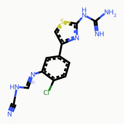 N#CN/C=N/c1cc(-c2csc(NC(=N)N)n2)ccc1Cl